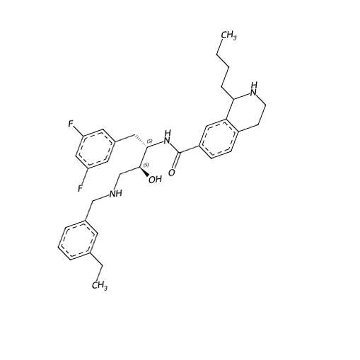 CCCCC1NCCc2ccc(C(=O)N[C@@H](Cc3cc(F)cc(F)c3)[C@@H](O)CNCc3cccc(CC)c3)cc21